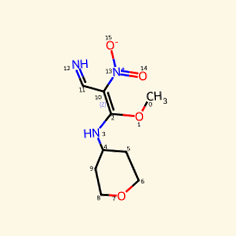 CO/C(NC1CCOCC1)=C(/C=N)[N+](=O)[O-]